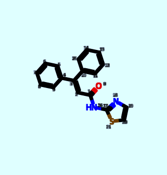 O=C(C=C(c1ccccc1)c1ccccc1)Nc1nccs1